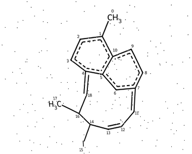 Cc1cc/c2c3c/c(ccc13)=C\C=C/C(I)C(C)/C=2